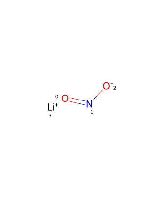 O=N[O-].[Li+]